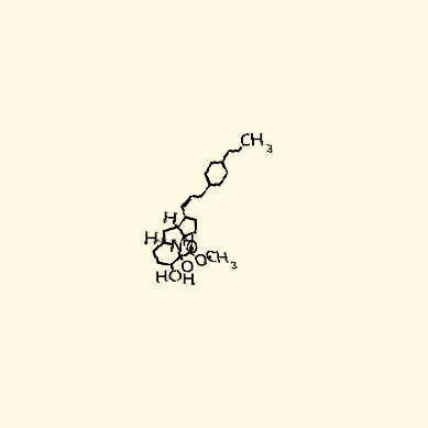 CCCC1CCC(C/C=C\[C@H]2CC[C@@H]3[C@@H]2C[C@@H]2CCC(O)C(O)(C(=O)OC)N23)CC1